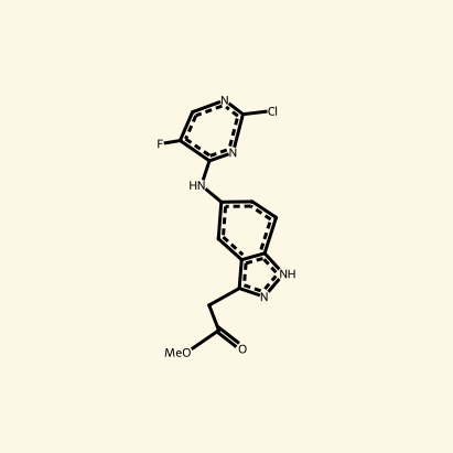 COC(=O)Cc1n[nH]c2ccc(Nc3nc(Cl)ncc3F)cc12